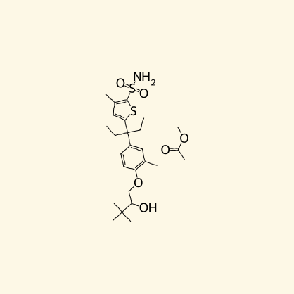 CCC(CC)(c1ccc(OCC(O)C(C)(C)C)c(C)c1)c1cc(C)c(S(N)(=O)=O)s1.COC(C)=O